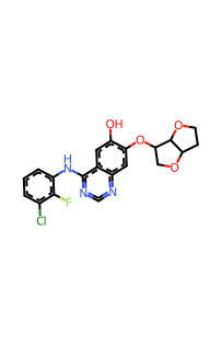 Oc1cc2c(Nc3cccc(Cl)c3F)ncnc2cc1OC1COC2CCOC21